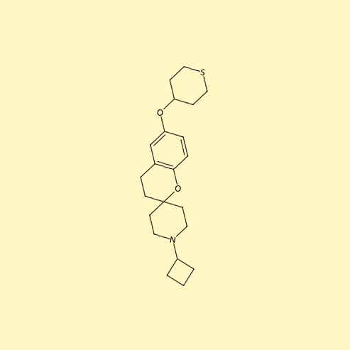 c1cc2c(cc1OC1CCSCC1)CCC1(CCN(C3CCC3)CC1)O2